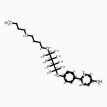 CCCCOCCCCOC(F)(F)C(F)(F)C(F)(F)C(F)(F)Oc1ccc(-c2ncc(O)cn2)cc1